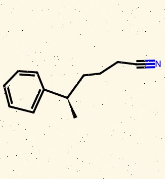 C[C@H](CCCC#N)c1ccccc1